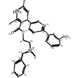 CC1=CC(c2ccc(-c3cccc([N+](=O)[O-])c3)nc2)C(C(=O)OCCN(C)Cc2ccccc2)=C(C)N1